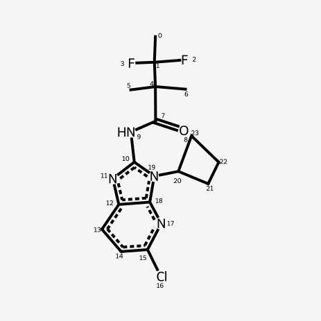 CC(F)(F)C(C)(C)C(=O)Nc1nc2ccc(Cl)nc2n1C1CCC1